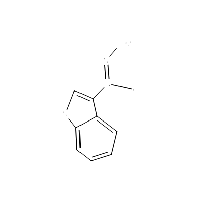 CON=[N+]([O-])c1c[nH]c2ccccc12